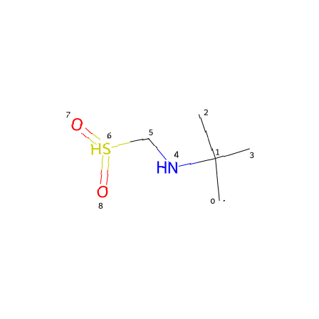 [CH2]C(C)(C)NC[SH](=O)=O